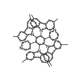 Cc1ccc2c(c1)c1cc(C)ccc1n2-c1c(-c2ccncc2)c(-n2c3ccc(C)cc3c3cc(C)ccc32)c(-n2c3ccc(C)cc3c3cc(C)ccc32)c(-c2cccnc2)c1-n1c2ccc(C)cc2c2cc(C)ccc21